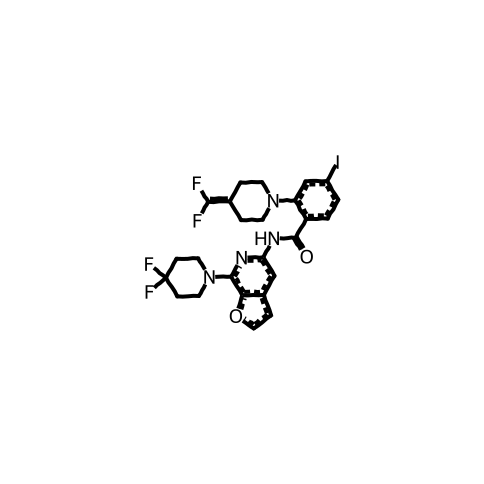 O=C(Nc1cc2ccoc2c(N2CCC(F)(F)CC2)n1)c1ccc(I)cc1N1CCC(=C(F)F)CC1